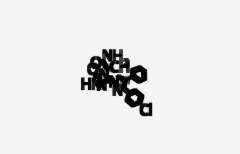 C[C@@H](C(N)=O)n1c(N2C[C@@H](c3ccccc3)C(c3ccc(Cl)cc3)=N2)n[nH]c1=O